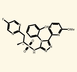 COc1cccc(-c2nnc(NS(=O)(=O)[C@@H](C)Cc3ncc(F)cn3)n2-c2ccccc2OC)n1